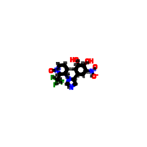 O=[N+]([O-])c1cc(-c2cncn2-c2ccc[n+]([O-])c2C(F)(F)F)cc(O)c1O